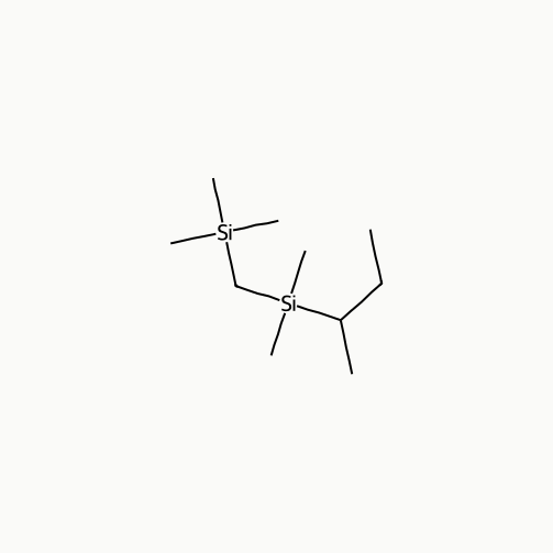 CCC(C)[Si](C)(C)C[Si](C)(C)C